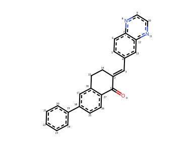 O=C1/C(=C/c2ccc3nccnc3c2)CCc2cc(-c3ccccc3)ccc21